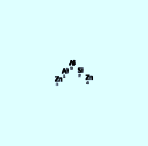 [Al].[Al].[Si].[Zn].[Zn]